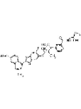 COc1cnc2c(-c3nc4cc(F)c(OC(C)C(C)N(C(=O)O)c5ccnc(C(=O)NC[C@@H](C)O)c5)cc4s3)cc(C)cc2n1